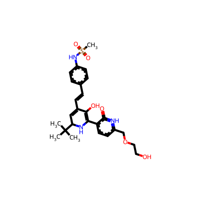 CC(C)(C)C1C=C(/C=C/c2ccc(NS(C)(=O)=O)cc2)C(O)=C(c2ccc(COCCO)[nH]c2=O)N1